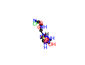 Cc1ncsc1-c1ccc([C@H](C)NC(=O)[C@@H]2C[C@@H](O)CN2C(=O)[C@@H](NC(=O)CN2C[C@H]3C[C@@H]2CN3CCCc2ccc(C(=O)NC3C(C)(C)C(Oc4ccc(C#N)c(Cl)c4)C3(C)C)cc2)C(C)(C)C)cc1